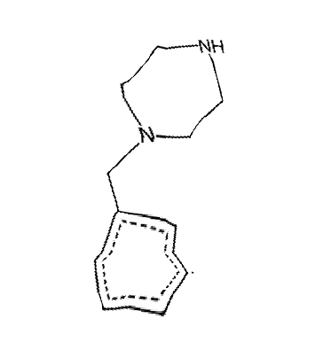 [c]1cccc(CN2CCNCC2)c1